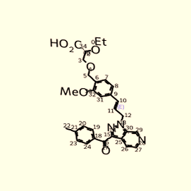 CCO[C@H](COCc1ccc(/C=C/Cn2nc(C(=O)c3ccc(C)cc3)c3ccncc32)cc1OC)C(=O)O